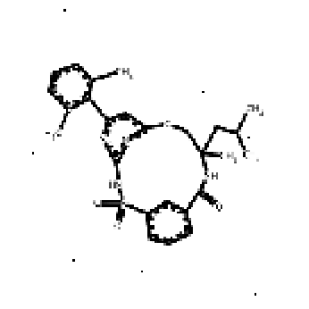 Cc1cccc(C)c1-c1cc2nc(n1)NS(=O)(=O)c1cccc(c1)C(=O)NC(C)(CC(C)C)CO2